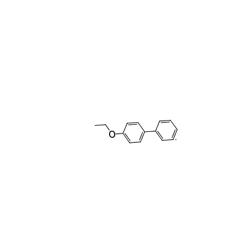 CCOc1ccc(-c2c[c]ccc2)cc1